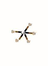 [Br][La]([Br])([Br])([Br])[Br]